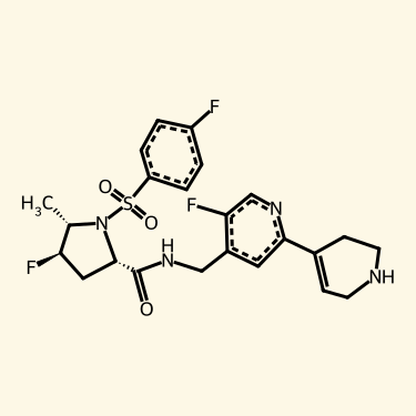 C[C@H]1[C@H](F)C[C@@H](C(=O)NCc2cc(C3=CCNCC3)ncc2F)N1S(=O)(=O)c1ccc(F)cc1